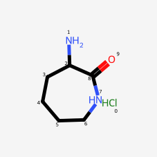 Cl.NC1CCCCNC1=O